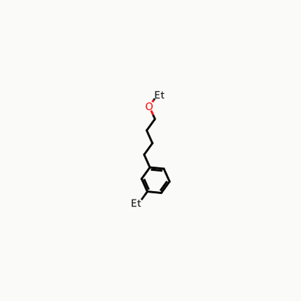 CCOCCCCc1cccc(CC)c1